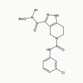 CON(C(=O)c1n[nH]c2c1CN(C(=O)Nc1cccc(Cl)c1)CC2)C(C)C